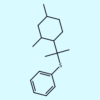 CC1CCC(C(C)(C)Sc2ccccc2)C(C)C1